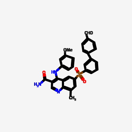 COc1cccc(Nc2c(C(N)=O)cnc3c(C)cc(S(=O)(=O)c4cccc(-c5ccc(C=O)cc5)c4)cc23)c1